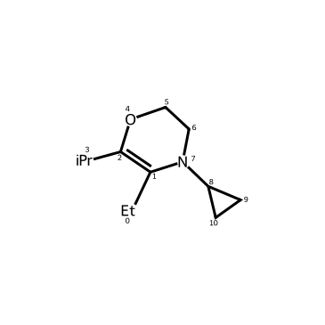 CCC1=C(C(C)C)OCCN1C1CC1